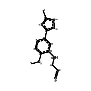 COc1ccc(-c2nc(C)ns2)cc1NCC=O